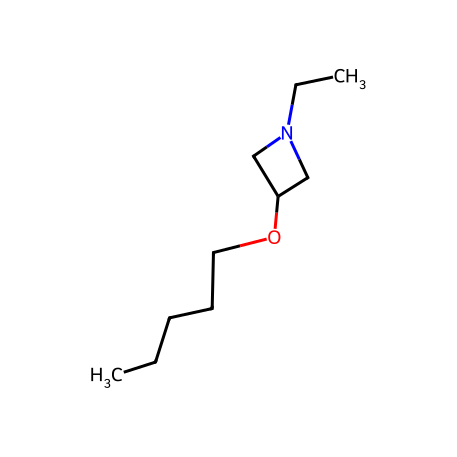 CCCCCOC1CN(CC)C1